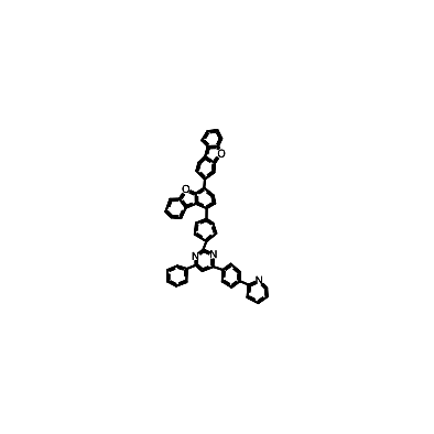 c1ccc(-c2cc(-c3ccc(-c4ccccn4)cc3)nc(-c3ccc(-c4ccc(-c5ccc6c(c5)oc5ccccc56)c5oc6ccccc6c45)cc3)n2)cc1